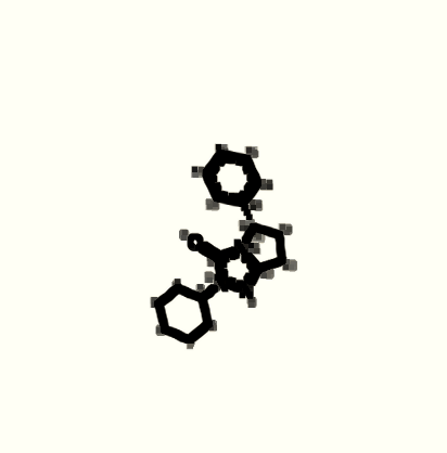 O=c1n(C2CCCCC2)nc2n1[C@H](c1ccccc1)CC2